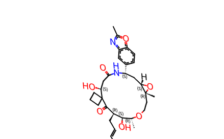 CC=CC[C@H]1C(=O)C2(CCC2)[C@@H](O)CC(=O)N[C@H](c2ccc3oc(C)nc3c2)C[C@@H]2O[C@]2(C)CCO[C@H](C)[C@H]1O